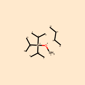 CC(C)[Si](O[SiH3])(C(C)C)C(C)C.CCCC